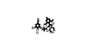 CCc1cc(C)cc(CC)c1-c1c(OC(=O)C(C)(C)C)n2n(c1=O)CCOCC2.N#Cc1cc(Br)c(O)c(Br)c1